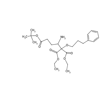 CCOC(=O)C(OCCCc1ccccc1)(C(=O)OCC)C(N)CCC(=O)OC(C)(C)C